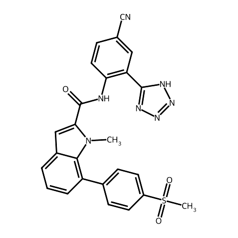 Cn1c(C(=O)Nc2ccc(C#N)cc2-c2nnn[nH]2)cc2cccc(-c3ccc(S(C)(=O)=O)cc3)c21